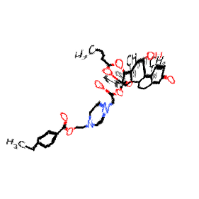 CCCC1O[C@@H]2CC3C4CCC5=CC(=O)C=C[C@]5(C)C4[C@@H](O)C[C@]3(C)[C@]2(C(=O)COC(=O)CN2CCN(CCOC(=O)c3ccc(CC)cc3)CC2)O1